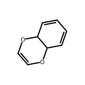 [C]1=CC=CC2OC=COC12